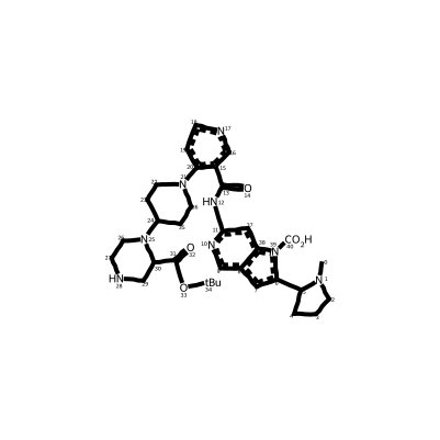 CN1CCCC1c1cc2cnc(NC(=O)c3cnccc3N3CCC(N4CCNCC4C(=O)OC(C)(C)C)CC3)cc2n1C(=O)O